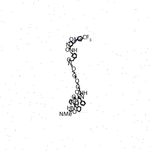 CN[C@@H](C)C(=O)NC(C(=O)N1CCC[C@H]1C(=O)Nc1sc(NC(=O)COCCOCCOCCOCCN(C)C(=O)Cc2cccc(CNC(=O)c3cc(/C=C/C4CCC(C(F)(F)F)CC4)c(OC)cn3)c2)nc1-c1ccccc1)C1CCCCC1